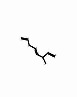 C=CCC=CC(C)C=C